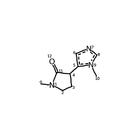 CN1CCC(c2cncn2C)C1=O